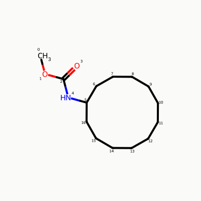 COC(=O)NC1CCCCCCCCCCC1